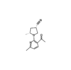 CC(=O)c1ccc(C)nc1N1C[C@@H](C#N)C[C@H]1C